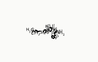 CN(C)CCCSc1ccc(S(=O)(=O)N2CCC(Nc3nc(N)c(C(=O)c4c(F)cccc4F)s3)CC2)cn1.Cl.Cl